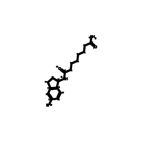 NC(=O)CCCCCCC(=O)NC1CCc2cc(Br)ccc21